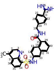 Cc1ccnc2c(S(=O)(=O)Nc3ccc4c(C(=O)NCc5ccc(C(=N)N)cc5)cccc4c3)cccc12